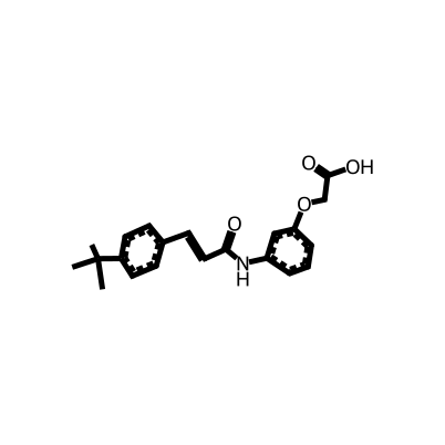 CC(C)(C)c1ccc(/C=C/C(=O)Nc2cccc(OCC(=O)O)c2)cc1